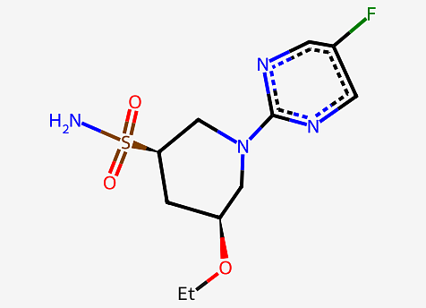 CCO[C@H]1C[C@@H](S(N)(=O)=O)CN(c2ncc(F)cn2)C1